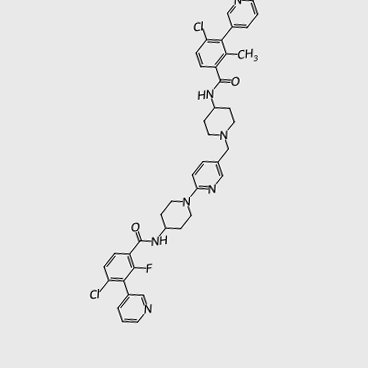 Cc1c(C(=O)NC2CCN(Cc3ccc(N4CCC(NC(=O)c5ccc(Cl)c(-c6cccnc6)c5F)CC4)nc3)CC2)ccc(Cl)c1-c1cccnc1